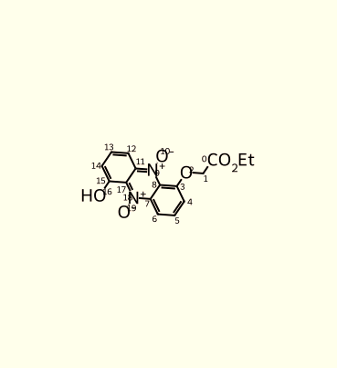 CCOC(=O)COc1cccc2c1[n+]([O-])c1cccc(O)c1[n+]2[O-]